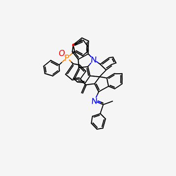 C=C(C1=C(/N=C(\C)c2ccccc2)c2ccccc2C12c1ccccc1-n1c3ccccc3c3cccc2c31)c1ccc(P(=O)(c2ccccc2)c2ccccc2)cc1